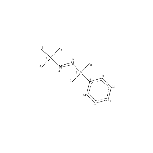 CC(C)(C)N=NC(C)(C)c1ccccc1